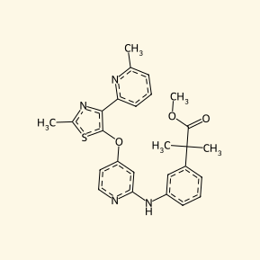 COC(=O)C(C)(C)c1cccc(Nc2cc(Oc3sc(C)nc3-c3cccc(C)n3)ccn2)c1